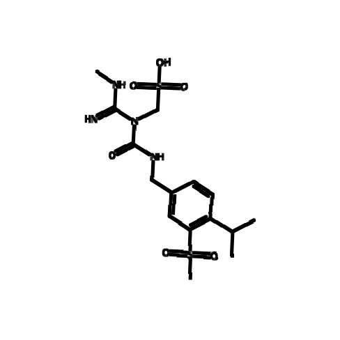 CNC(=N)N(CS(=O)(=O)O)C(=O)NCc1ccc(C(C)C)c(S(C)(=O)=O)c1